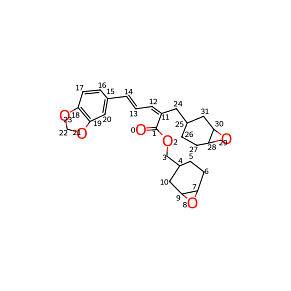 O=C(OCC1CCC2OC2C1)C(=CC=Cc1ccc2c(c1)OCO2)CC1CCC2OC2C1